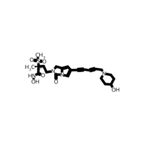 C[C@@](CCN1Cc2cc(C#CC#CCN3CCC(O)CC3)cn2C1=O)(C(=O)NO)S(C)(=O)=O